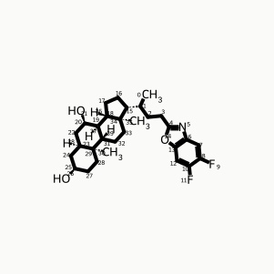 CC(CCc1nc2cc(F)c(F)cc2o1)[C@H]1CC[C@H]2[C@@H]3[C@H](O)C[C@@H]4C[C@H](O)CC[C@]4(C)[C@H]3CC[C@]12C